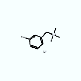 C[N+](C)(C)Cc1cccc(Cl)c1.[Cl-]